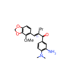 COc1c(/C=C(/C(=O)c2ccc(N(C)C)c(N)c2)C(C)C)ccc2c1OCO2